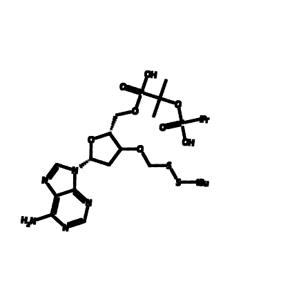 CC(C)P(=O)(O)OC(C)(C)P(=O)(O)OC[C@H]1O[C@@H](n2cnc3c(N)ncnc32)CC1OCSSC(C)(C)C